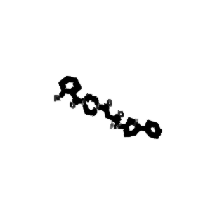 O=C(CC(=O)N1CCN(C(=O)c2ccccc2Br)CC1)Nc1ccc(-c2ccccc2)nc1